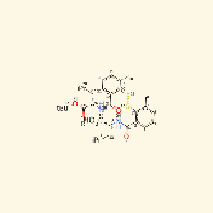 Cc1cccc(C(=O)N[C@@H](CC(C)C)C(=O)O)c1SSc1c(C)cccc1C(=O)N[C@@H](CC(C)C)C(=O)OC(C)(C)C